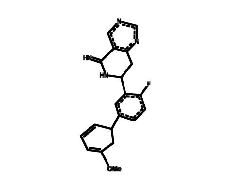 COC1=CC=CC(c2ccc(F)c(C3Cc4ncncc4C(=N)N3)c2)C1